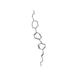 CCCC=Cc1ccc(-c2ccc(C3CCC(CCC)CC3)cc2)cc1